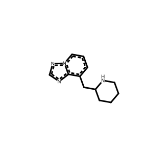 c1cc(CC2CCCCN2)c2ncnn2c1